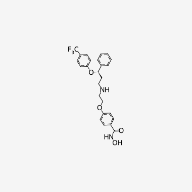 O=C(NO)c1ccc(OCCNCC[C@@H](Oc2ccc(C(F)(F)F)cc2)c2ccccc2)cc1